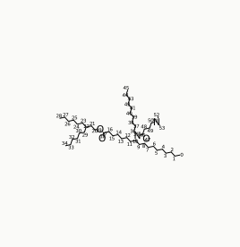 CCCCCCCCCCC(CCCCCCC(=O)OCCC(CCCCCC)CCCCCC)N(CCCCCCCCCC)C(=O)CCCN(C)C